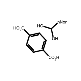 CCCCCCCCCC(O)O.O=C(O)c1ccc(C(=O)O)cc1